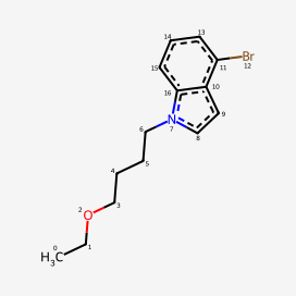 CCOCCCCn1ccc2c(Br)cccc21